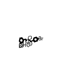 O=[C]OC(C(=O)OCc1cccc(Br)c1)c1ccc(Br)cc1